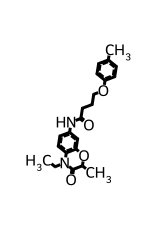 CCN1C(=O)C(C)Oc2cc(NC(=O)CCCOc3ccc(C)cc3)ccc21